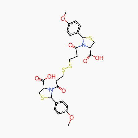 COc1ccc(C2SC[C@@H](C(=O)O)N2C(=O)CCSSCCC(=O)N2C(c3ccc(OC)cc3)SC[C@H]2C(=O)O)cc1